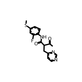 CSc1ccc(NC(=O)C(Cc2ccncn2)C(C)=O)c(F)c1